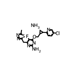 Cc1nnc(Cc2nc(N)nc(OCC3CC3c3ccc(Cl)cn3)c2F)s1.N